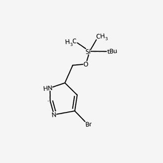 CC(C)(C)[Si](C)(C)OCC1C=C(Br)N=[C]N1